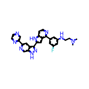 CN(C)CCNc1cc(F)cc(-c2nccc3[nH]c(-c4n[nH]c5cnc(-c6cnccn6)cc45)cc23)c1